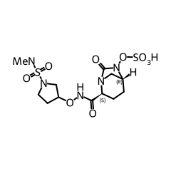 CNS(=O)(=O)N1CCC(ONC(=O)[C@@H]2CC[C@@H]3CN2C(=O)N3OS(=O)(=O)O)C1